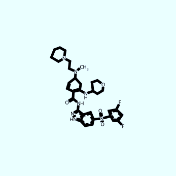 CN(CCN1CCCCC1)C1C=CC(C(=O)Nc2n[nH]c3ccc(S(=O)(=O)c4cc(F)cc(F)c4)cc23)=C(NC2CCOCC2)C1